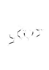 CCN(c1nc(C)cc(-c2ccsc2C)n1)c1ccc(Br)cc1Br